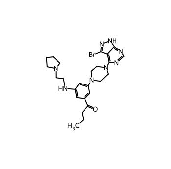 CCCC(=O)c1cc(NCCN2CCCC2)cc(N2CCN(c3ncnc4[nH]nc(Br)c34)CC2)c1